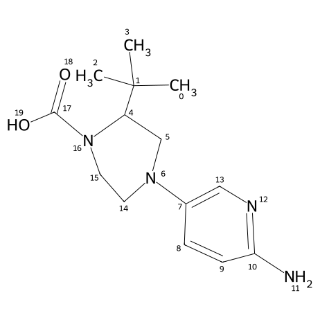 CC(C)(C)C1CN(c2ccc(N)nc2)CCN1C(=O)O